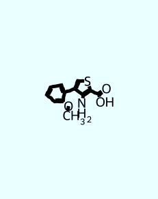 COc1ccccc1-c1csc(C(=O)O)c1N